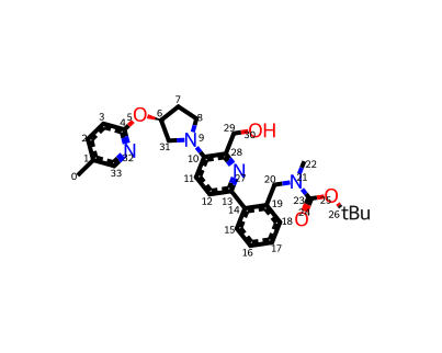 Cc1ccc(O[C@H]2CCN(c3ccc(-c4ccccc4CN(C)C(=O)OC(C)(C)C)nc3CO)C2)nc1